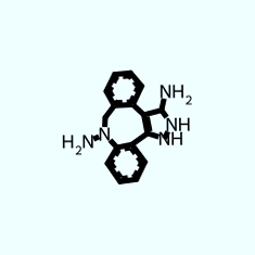 NC1NNC2=C1c1ccccc1CN(N)c1ccccc12